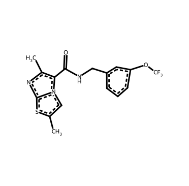 Cc1cn2c(C(=O)NCc3cccc(OC(F)(F)F)c3)c(C)nc2s1